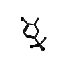 CC1CC(S(=O)(=O)F)=CC=C1F